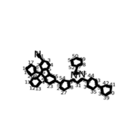 N#Cc1ccc2c(c1)C(c1ccccc1)(c1ccccc1)c1ccc(-c3cccc(-c4cc(-c5ccc(-c6ccccc6)cc5)nc(-c5ccccc5)n4)c3)cc1-2